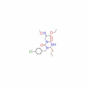 CCOC(=O)/C(CN1C(=O)NC(SCC)N(Cc2ccc(Cl)cc2)C1=O)=N/OC